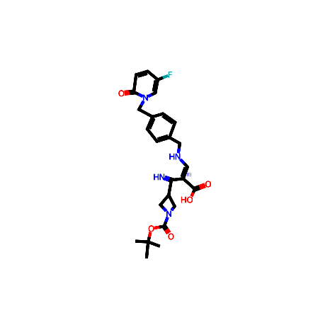 CC(C)(C)OC(=O)N1CC(C(=N)/C(=C\NCc2ccc(Cn3cc(F)ccc3=O)cc2)C(=O)O)C1